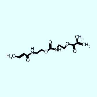 C=C(C)C(=O)OCCNC(=O)OCCNC(=O)C=CC